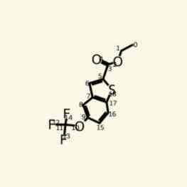 CCOC(=O)c1cc2cc(OC(F)(F)F)ccc2s1